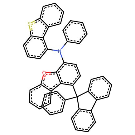 c1ccc(N(c2ccc(C3(c4ccccc4)c4ccccc4-c4ccccc43)c3c2oc2ccccc23)c2cccc3sc4ccccc4c23)cc1